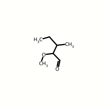 CCC(C)C(C=O)OC